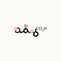 O=C(O)Cc1ccccc1OCc1cc(Br)cc(C=C2CCOCC2)c1